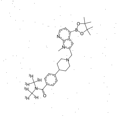 [2H]C([2H])([2H])N(C(=O)c1ccc(C2CCN(Cc3cc4c(B5OC(C)(C)C(C)(C)O5)ccnc4n3C)CC2)cc1)C([2H])([2H])[2H]